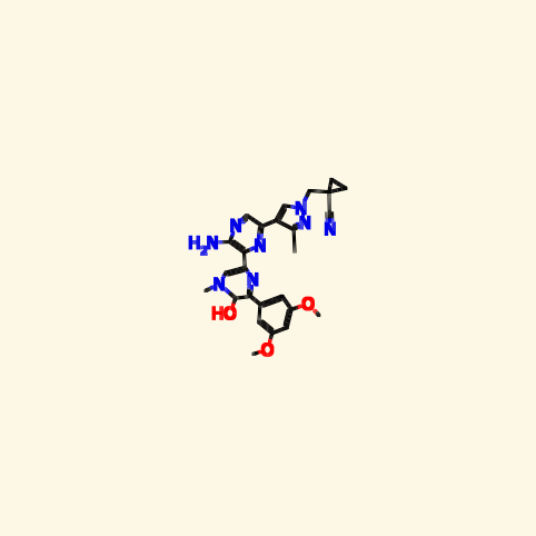 COc1cc(OC)cc(C2=NC(c3nc(-c4cn(CC5(C#N)CC5)nc4C)cnc3N)=CN(C)C2O)c1